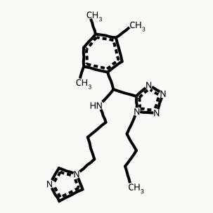 CCCCn1nnnc1C(NCCCn1ccnc1)c1cc(C)c(C)cc1C